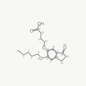 CCCCCOc1cc2c(cc1OCCCC(=O)O)C(=O)CC2